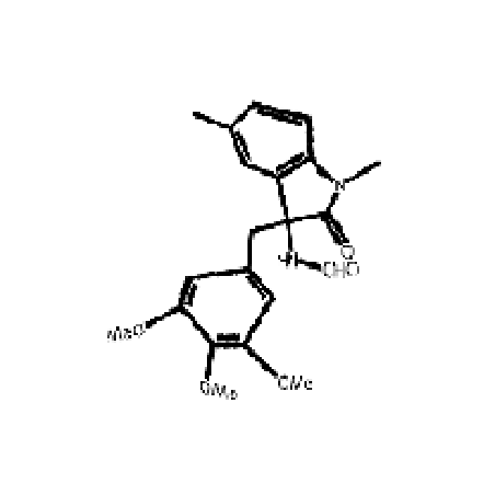 COc1cc(CC2(NC=O)C(=O)N(C)c3ccc(C)cc32)cc(OC)c1OC